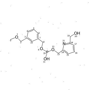 COCc1cccc(COP(O)OCc2cccc(CO)n2)c1